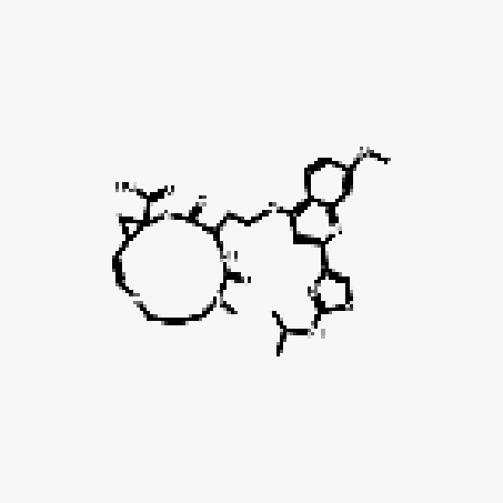 COc1ccc2c(OCCC3NC(=O)N(C)CCCC/C=C\C4CC4(C(=O)O)NC3=O)cc(-c3csc(NC(C)C)n3)nc2c1